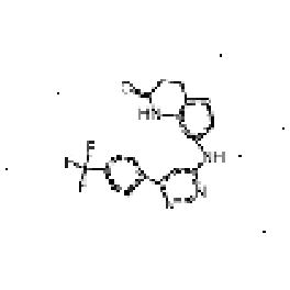 O=C1CCc2ccc(Nc3cc(-c4ccc(C(F)(F)F)cc4)ncn3)cc2N1